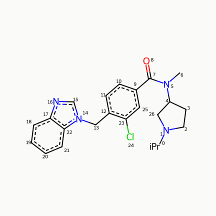 CC(C)N1CCC(N(C)C(=O)c2ccc(Cn3cnc4ccccc43)c(Cl)c2)C1